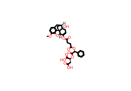 COc1ccc2c3c1O[C@H]1C(OC(=O)CCC(=O)O[C@H](C(=O)O[C@@H](CC(=O)O)C(=O)O)c4ccccc4)=CC[C@@]4(O)[C@H](CCC[C@]314)C2